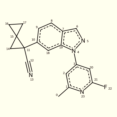 Cc1cc(-n2ncc3ccc(C4(C#N)CC45CC5)cc32)cc(F)n1